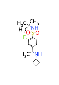 CC(NC1CCC1)c1ccc(S(=O)(=O)NC(C)(C)C)c(F)c1